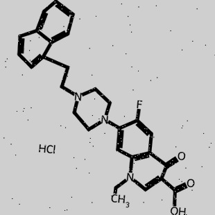 CCn1cc(C(=O)O)c(=O)c2cc(F)c(N3CCN(CCc4cccc5ccccc45)CC3)cc21.Cl